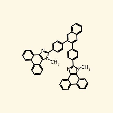 Cn1c(-c2ccc(-c3cc4ccccc4cc3-c3ccc(-c4nc5c6ccccc6c6ccccc6c5n4C)cc3)cc2)nc2c3ccccc3c3ccccc3c21